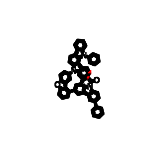 O=c1c2ccccc2c2cc(-c3cccc4oc5ccc(-n6c7ccccc7c7c6ccc6c8ccccc8n(-c8ccccc8)c67)cc5c34)cc3c4cc(-c5ccccc5)ccc4n1c23